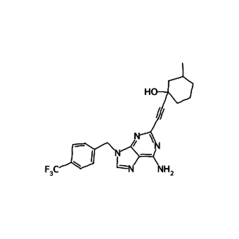 CC1CCCC(O)(C#Cc2nc(N)c3ncn(Cc4ccc(C(F)(F)F)cc4)c3n2)C1